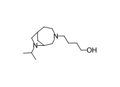 CC(C)N1CC2CCN(CCCCO)CC1C2